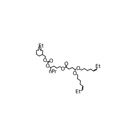 [CH2]CCC(CCCOC(=O)CCC(OCCCC/C=C\CC)OCCCC/C=C\CC)OC(=O)OCC1CCCN(CC)C1